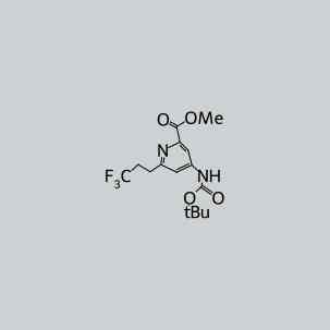 COC(=O)c1cc(NC(=O)OC(C)(C)C)cc(CCC(F)(F)F)n1